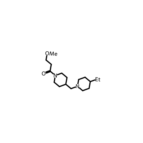 CCC1CCN(CC2CCN(C(=O)CCOC)CC2)CC1